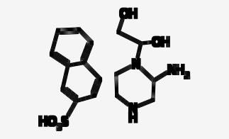 NC1CNCCN1C(O)CO.O=S(=O)(O)c1ccc2ccccc2c1